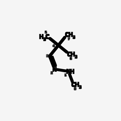 CN/N=C\C(C)(C)C